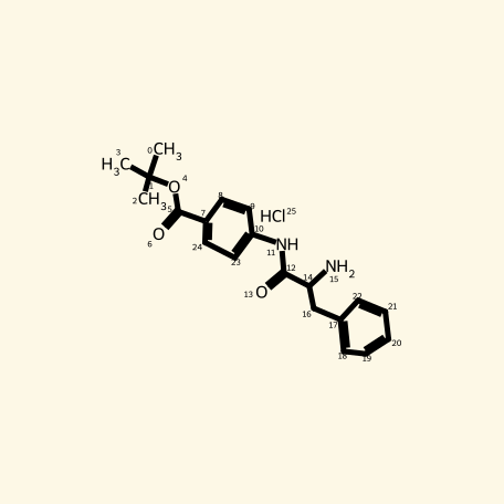 CC(C)(C)OC(=O)c1ccc(NC(=O)C(N)Cc2ccccc2)cc1.Cl